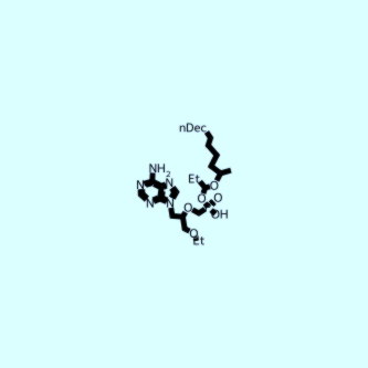 CCCCCCCCCCCCCCC(C)OC(CC)OP(=O)(O)COC(COCC)Cn1cnc2c(N)ncnc21